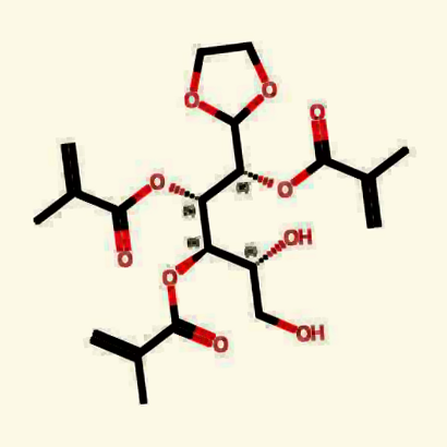 C=C(C)C(=O)O[C@@H]([C@H](OC(=O)C(=C)C)[C@@H](OC(=O)C(=C)C)C1OCCO1)[C@H](O)CO